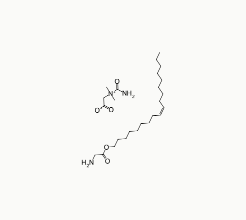 CCCCCCCC/C=C\CCCCCCCCOC(=O)CN.C[N+](C)(CC(=O)[O-])C(N)=O